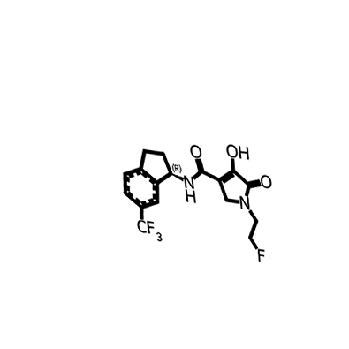 O=C(N[C@@H]1CCc2ccc(C(F)(F)F)cc21)C1=C(O)C(=O)N(CCF)C1